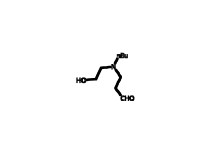 CCCCN(CCO)CCC=O